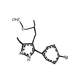 Cc1n[nH]c(-c2ccc(Br)cc2)c1CC(C)OC=O